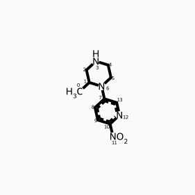 CC1CNCCN1c1ccc([N+](=O)[O-])nc1